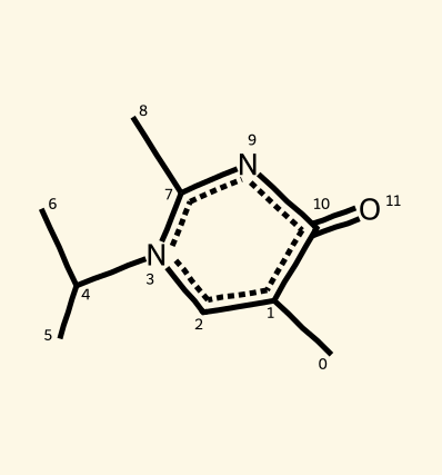 Cc1cn(C(C)C)c(C)nc1=O